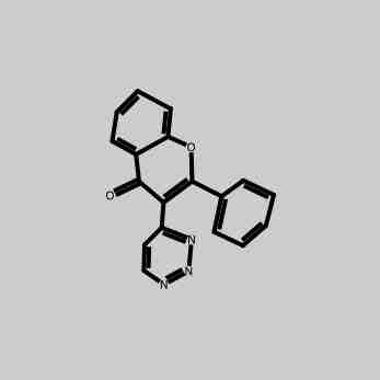 O=c1c(-c2ccnnn2)c(-c2ccccc2)oc2ccccc12